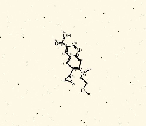 COCCN(C)c1cc2ncc(C(=O)O)cc2cc1C1CC1